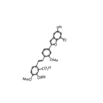 CCCc1cc(CC)c2oc(-c3ccc(C=Cc4ccc(OC)c(OC)c4C(=O)O)c(OC)c3)cc2c1